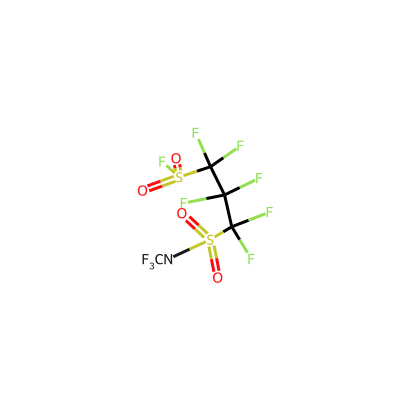 O=S(=O)(F)C(F)(F)C(F)(F)C(F)(F)S(=O)(=O)NC(F)(F)F